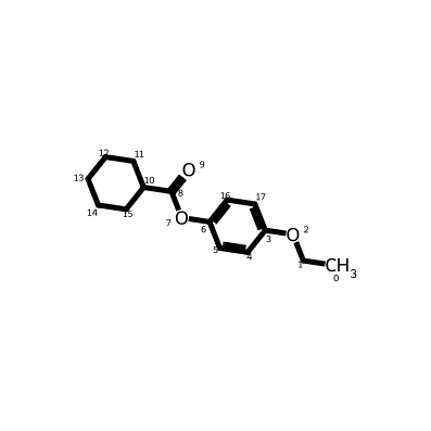 CCOc1ccc(OC(=O)C2CCCCC2)cc1